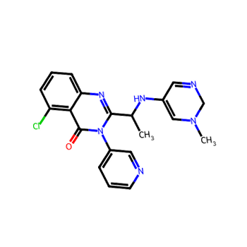 CC(NC1=CN(C)CN=C1)c1nc2cccc(Cl)c2c(=O)n1-c1cccnc1